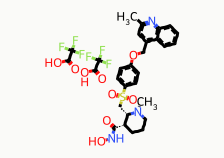 Cc1cc(COc2ccc(S(=O)(=O)C[C@H]3[C@@H](C(=O)NO)CCCN3C)cc2)c2ccccc2n1.O=C(O)C(F)(F)F.O=C(O)C(F)(F)F